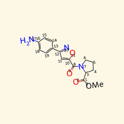 COC(=O)C1CCCN1C(=O)c1cc(-c2ccc(N)cc2)no1